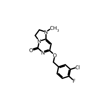 CN1CCn2c1cc(OCc1ccc(F)c(Cl)c1)nc2=O